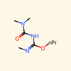 CCCOC(=NC)NC(=O)N(C)C